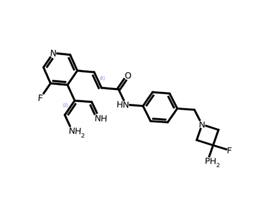 N=C/C(=C\N)c1c(F)cncc1/C=C/C(=O)Nc1ccc(CN2CC(F)(P)C2)cc1